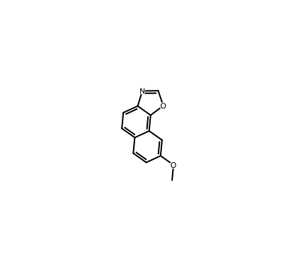 COc1ccc2ccc3ncoc3c2c1